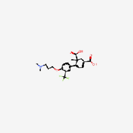 CN(C)CCCOc1ccc(C2=CC=C(C(=O)O)CC2(C)C(=O)O)cc1C(F)(F)F